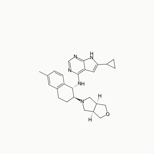 Cc1ccc2c(c1)CC[C@H](N1C[C@H]3COC[C@H]3C1)[C@H]2Nc1ncnc2[nH]c(C3CC3)cc12